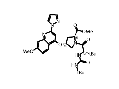 COC(=O)[C@@H]1C[C@@H](Oc2cc(-n3cccn3)nc3cc(OC)ccc23)CN1C(=O)[C@@H](NC(=O)NC(C)(C)C)C(C)(C)C